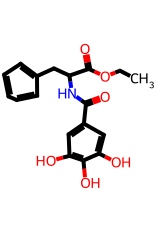 CCOC(=O)C(Cc1ccccc1)NC(=O)c1cc(O)c(O)c(O)c1